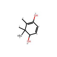 CCCCC1(C)C(C)=C(O)C=CC1O